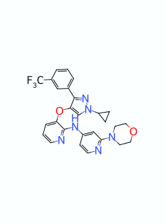 FC(F)(F)c1cccc(-c2nn(C3CC3)cc2Oc2cccnc2Nc2ccnc(N3CCOCC3)c2)c1